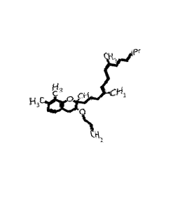 C=CCO[C@@H]1Cc2ccc(C)c(C)c2O[C@]1(C)CCC[C@H](C)CCCC(C)CCCC(C)C